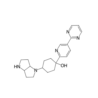 OC1(c2ccc(-c3ncccn3)cn2)CCC(N2CCC3NCCC32)CC1